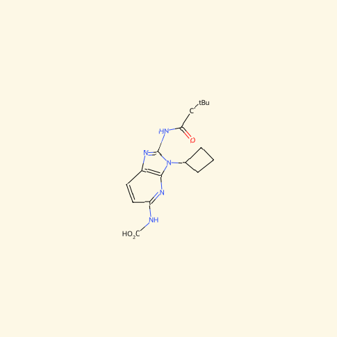 CC(C)(C)CC(=O)Nc1nc2ccc(NC(=O)O)nc2n1C1CCC1